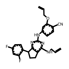 C=CCNc1nc(Nc2ccc(C#N)c(OCC=C)c2)nc2c1CCC2c1ccc(F)cc1F